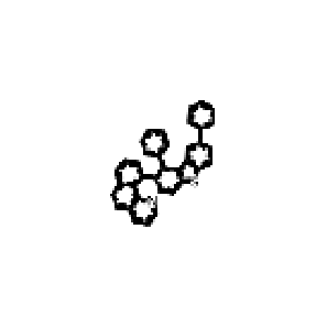 c1ccc(-c2ccc3sc4ccc(-c5cccc6ccc7cccnc7c56)c(-c5ccccc5)c4c3c2)cc1